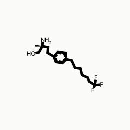 C[C@](N)(CO)CCc1ccc(CCCCCCC(F)(F)F)cc1